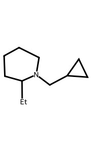 [CH2]CC1CCCCN1CC1CC1